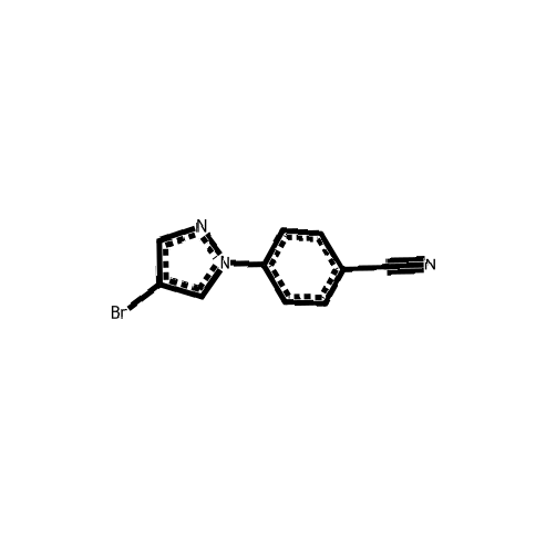 N#Cc1ccc(-n2cc(Br)cn2)cc1